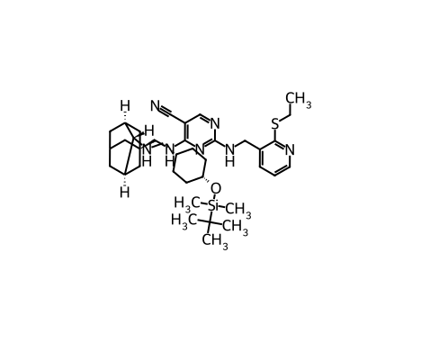 CCSc1ncccc1CNc1ncc(C#N)c(NC[C@]23CC4C[C@H](C2)[C@@H](NC[C@H]2CC[C@@H](O[Si](C)(C)C(C)(C)C)CC2)[C@@H](C4)C3)n1